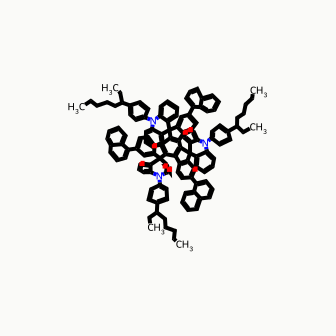 CCCCCC(CC)c1ccc(N2c3ccccc3C3(c4cc(-c5cccc6ccccc56)ccc4-c4c3c3c(c5c4C4(c6cc(-c7cccc8ccccc78)ccc6-5)c5ccccc5N(c5ccc(C(CC)CCCCC)cc5)c5ccccc54)C4(c5cc(-c6cccc7ccccc67)ccc5-3)c3ccccc3N(c3ccc(C(CC)CCCCC)cc3)c3ccccc34)c3ccccc32)cc1